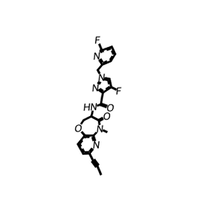 CC#Cc1ccc2c(n1)N(C)C(=O)C(NC(=O)c1nn(Cc3cccc(F)n3)cc1F)CO2